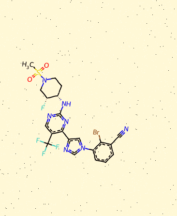 CS(=O)(=O)N1CC[C@H](Nc2ncc(C(F)(F)F)c(-c3cn(-c4cccc(C#N)c4Br)cn3)n2)[C@H](F)C1